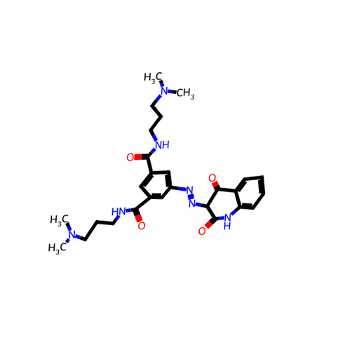 CN(C)CCCNC(=O)c1cc(N=NC2C(=O)Nc3ccccc3C2=O)cc(C(=O)NCCCN(C)C)c1